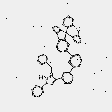 C1=C(c2cccc(-c3cccc(-c4ccc5c(c4)C4(c6ccccc6Oc6ccccc64)c4ccccc4-5)c3)c2)N(Cc2ccccc2)NC1c1ccccc1